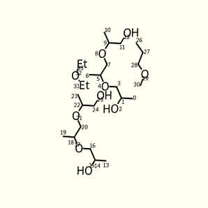 CC(O)COC(C)COC(C)CO.CC(O)COC(C)COC(C)CO.CCCOC.CCOCC